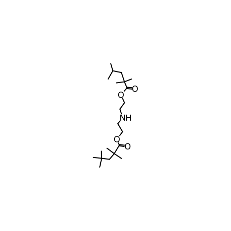 CC(C)CC(C)(C)C(=O)OCCNCCOC(=O)C(C)(C)CC(C)(C)C